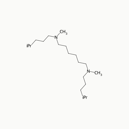 CC(C)CCCN(C)CCCCCCN(C)CCCC(C)C